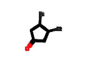 CCC1CC(=O)CC1CC